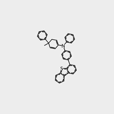 CC1(c2ccccc2)C=CC(N(c2ccccc2)c2ccc(-c3cccc4c3sc3ccccc34)cc2)=CC1